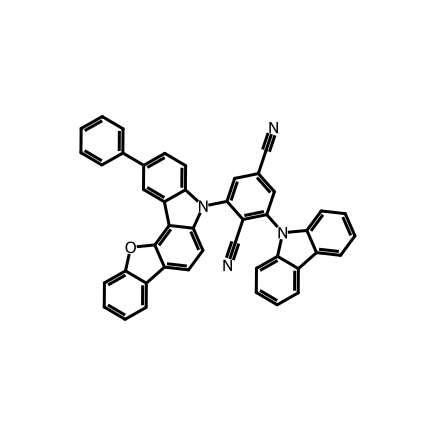 N#Cc1cc(-n2c3ccccc3c3ccccc32)c(C#N)c(-n2c3ccc(-c4ccccc4)cc3c3c4oc5ccccc5c4ccc32)c1